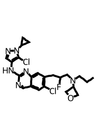 CCCN(CC(F)Cc1cc2nc(Nc3cnn(C4CC4)c3Cl)ncc2cc1Cl)C1COC1